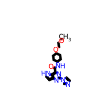 COCCOC1CCC(NC(=O)c2nc(-n3ccnc3)nc3cc[nH]c23)CC1